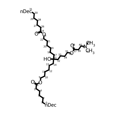 CCCCCCCCCCCCCCCC(=O)OCCCCCCC(O)(CCCCCCOC(=O)CCCCCCCCCCCCCCC)CCCCOC(=O)CCN(C)C